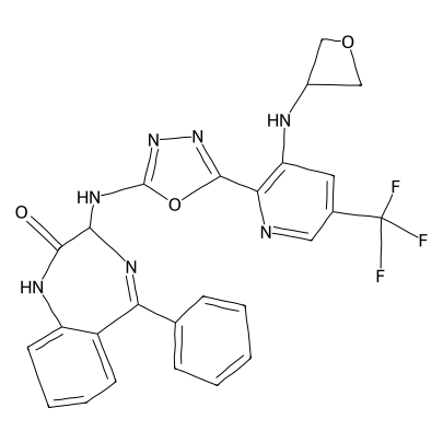 O=C1Nc2ccccc2C(c2ccccc2)=NC1Nc1nnc(-c2ncc(C(F)(F)F)cc2NC2COC2)o1